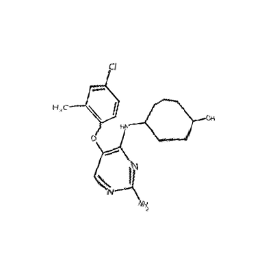 Cc1cc(Cl)ccc1Oc1cnc(N)nc1NC1CCC(O)CC1